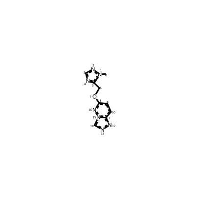 Cn1ncnc1COc1ccc2nncn2n1